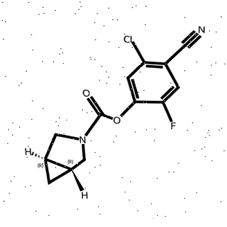 N#Cc1cc(F)c(OC(=O)N2C[C@@H]3C[C@H]3C2)cc1Cl